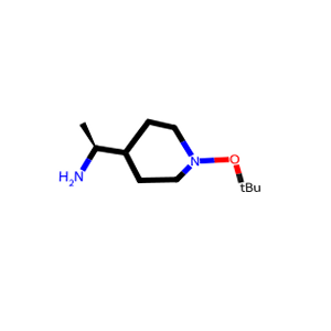 C[C@H](N)C1CCN(OC(C)(C)C)CC1